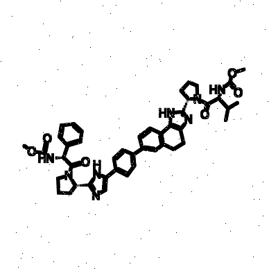 COC(=O)N[C@H](C(=O)N1CCC[C@H]1c1nc2c([nH]1)-c1ccc(-c3ccc(-c4cnc([C@@H]5CCCN5C(=O)[C@H](NC(=O)OC)c5ccccc5)[nH]4)cc3)cc1CC2)C(C)C